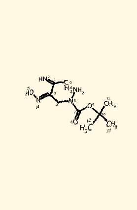 CC(=N)/C(CN(N)C(=O)OC(C)(C)C)=N\O